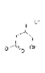 CC(CO)CC(=O)[O-].[Li+]